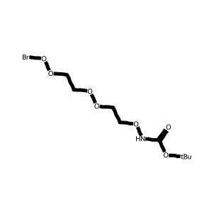 CC(C)(C)OC(=O)NOCCOOCCOOBr